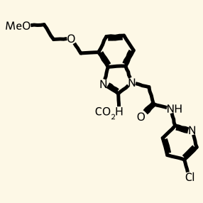 COCCOCc1cccc2c1nc(C(=O)O)n2CC(=O)Nc1ccc(Cl)cn1